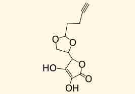 C#CCCC1OCC(C2OC(=O)C(O)=C2O)O1